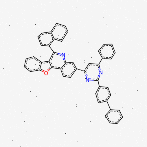 c1ccc(-c2ccc(-c3nc(-c4ccccc4)cc(-c4ccc5c(c4)nc(-c4cccc6ccccc46)c4c6ccccc6oc54)n3)cc2)cc1